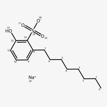 CCCCCCCCc1cccc(O)c1S(=O)(=O)[O-].[Na+]